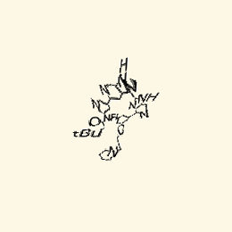 CC(C)(C)CC(=O)Nc1cncc(-c2cc3c(-c4nc5c(-c6cc(F)cc(OCCN7CCCC7)c6)nccc5[nH]4)n[nH]c3cn2)c1